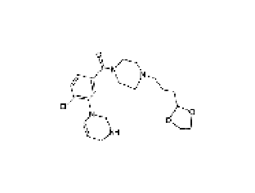 O=C(c1ccc(Cl)c(N2C=CCNC2)c1)N1CCN(CCCC2OCCO2)CC1